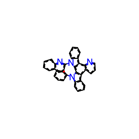 c1ccc(-n2c3ccccc3c3c4cccnc4c4c5ccccc5n(-c5ccc6ccccc6n5)c4c32)cc1